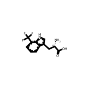 N[C@@H](Cc1c[nH]c2c(C(F)(F)F)cccc12)C(=O)O